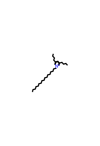 CCCCCCCCCCCCCCCCC[n+]1cc(CCCC)cc(CCCC)c1